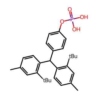 Cc1ccc(C(c2ccc(OP(=O)(O)O)cc2)c2ccc(C)cc2C(C)(C)C)c(C(C)(C)C)c1